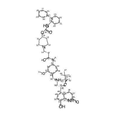 COc1cc(N(C)C(=O)CCN2CCC(OC(=O)Nc3ccccc3-c3ccccc3)CC2)ccc1CNC[C@H](O[Si](C)(C)C(C)(C)C)c1ccc(O)c2[nH]c(=O)ccc12